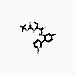 CCC(NC(=O)OC(C)(C)C)C(=O)Nc1cc(C)ccc1-c1ccc[n+]([O-])c1